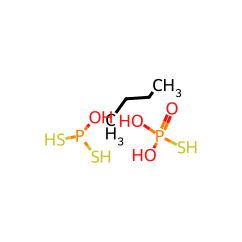 CCCC.O=P(O)(O)S.OP(S)S